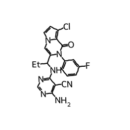 CCC(Nc1ncnc(N)c1C#N)c1cn2ccc(Cl)c2c(=O)n1-c1cccc(F)c1